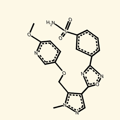 COc1ccc(OCc2c(-c3nc(-c4cccc(S(N)(=O)=O)c4)no3)cnn2C)cn1